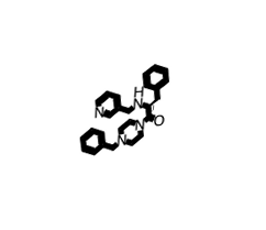 O=C([C@H](Cc1ccccc1)NCc1cccnc1)N1CCN(Cc2ccccc2)CC1